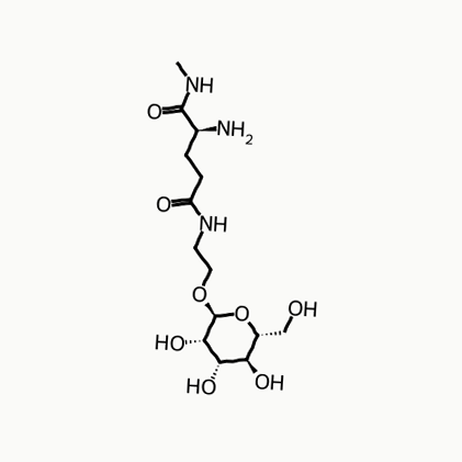 CNC(=O)[C@@H](N)CCC(=O)NCCO[C@H]1O[C@H](CO)[C@@H](O)[C@H](O)[C@@H]1O